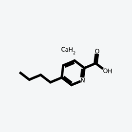 CCCCc1ccc(C(=O)O)nc1.[CaH2]